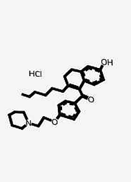 CCCCCCC1=C(C(=O)c2ccc(OCCN3CCCCC3)cc2)c2ccc(O)cc2CC1.Cl